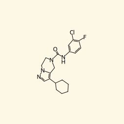 O=C(Nc1ccc(F)c(Cl)c1)N1CCn2ncc(C3CCCCC3)c2C1